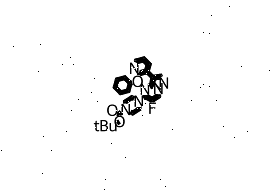 CC(C)(C)OC(=O)N1CCN(c2nc3c(-c4cccnc4OC4CCCCC4)cnn3cc2F)CC1